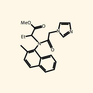 CCC(C(=O)OC)N(C(=O)Cn1ccnc1)c1c(C)ccc2ccccc12